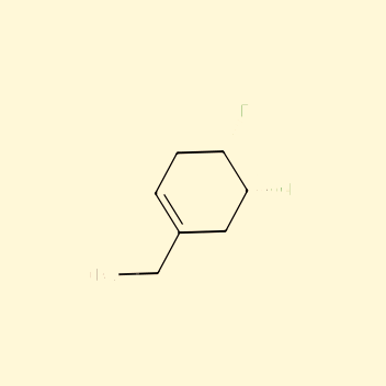 CC(C)(C)CC1=CC[C@H](F)[C@H](F)C1